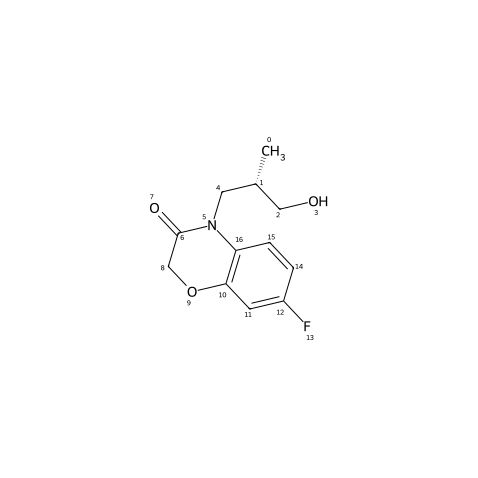 C[C@H](CO)CN1C(=O)COc2cc(F)ccc21